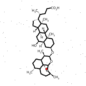 C[C@@H]1CCC2[C@@H](C)[C@@H](O[C@@H]3CC[C@]4(C)[C@H]5CC[C@]6(C)[C@@H]([C@H](C)CCC(=O)O)CC[C@H]6[C@@H]5C[C@H](O)[C@@H]4C3)OC3O[C@@]4(C)CCC1[C@]32OO4